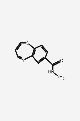 NNC(=O)c1ccc2c(c1)N=CC=CS2